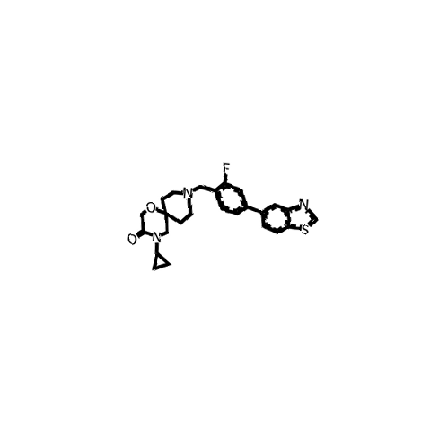 O=C1COC2(CCN(Cc3ccc(-c4ccc5scnc5c4)cc3F)CC2)CN1C1CC1